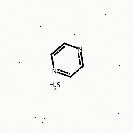 S.c1cnccn1